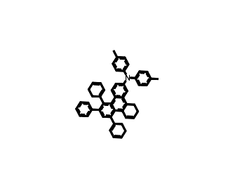 Cc1ccc(N(c2ccc(C)cc2)c2ccc3c(c2)c2c(c4c(C5=CC=CCC5)cc(-c5ccccc5)c(C5=CC=CCC5)c43)C=CCC2)cc1